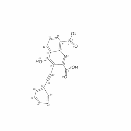 O=C(O)c1nc2c([N+](=O)[O-])cccc2c(O)c1C#Cc1ccccc1